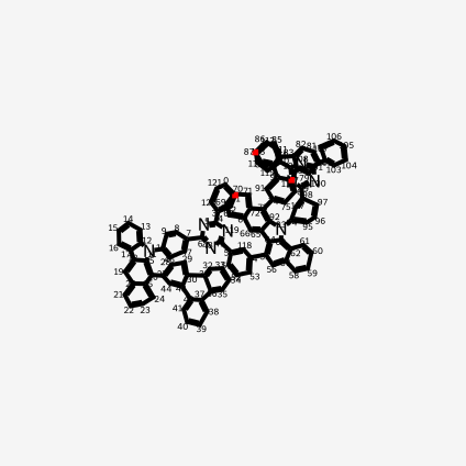 c1ccc(-c2nc(-c3ccc(-n4c5ccccc5c5cc6ccccc6c(-c6ccc7c8ccccc8c8ccccc8c7c6)c54)cc3)nc(-c3cccc(-c4cc5ccccc5c5c4c4cc6ccccc6c(-c6ccc7c8ccccc8c8ccccc8c7c6)c4n5-c4cccc(-c5nc(-c6ccccc6)nc(-c6ccccc6)n5)c4)c3)n2)cc1